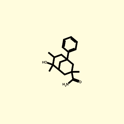 CC1CC2(c3ccccc3)CC(CC(C)(C(N)=O)C2)C1(C)O